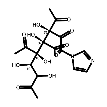 CC(=O)C(O)[C@@H](O)[C@](O)(C(C)=O)[C@@](O)(C(C)=O)[C@](O)(C(C)=O)C(=O)C(=O)n1ccnc1